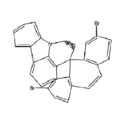 Brc1ccc2c(c1)C1(c3cc(Br)ccc3C=C2)c2ccccc2-n2c3ccccc3c3cccc1c32